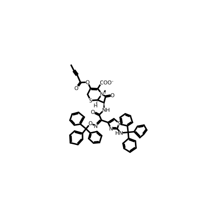 CC#CC(=O)OC1=C(C(=O)[O-])[N+]2(C)C(=O)[C@@H](NC(=O)/C(=N\OC(c3ccccc3)(c3ccccc3)c3ccccc3)c3csc(NC(c4ccccc4)(c4ccccc4)c4ccccc4)n3)[C@H]2SC1